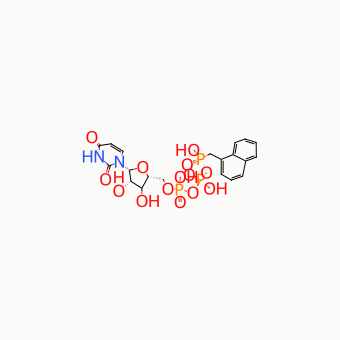 O=c1ccn([C@@H]2O[C@H](COP(=O)(O)OP(=O)(O)OP(=O)(O)Cc3cccc4ccccc34)C(O)[C@@H]2O)c(=O)[nH]1